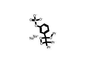 CC(C)OC1(c2cccc(OP(=O)([O-])[O-])c2)OOC1(C(C)C)C(C)C.[Na+].[Na+]